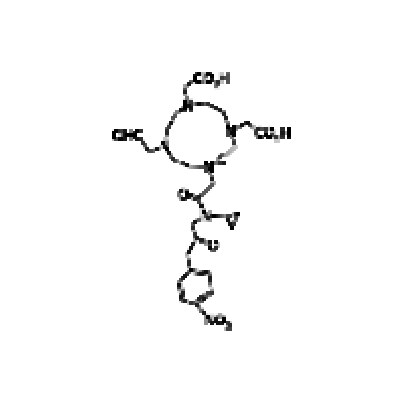 O=CCN1CCN(CC(=O)O)CCN(CC(=O)O)CCN(CC(=O)N(CC(=O)Cc2ccc([N+](=O)[O-])cc2)C2CC2)CC1